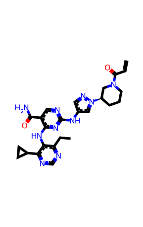 C=CC(=O)N1CCC[C@@H](n2cc(Nc3ncc(C(N)=O)c(Nc4c(CC)ncnc4C4CC4)n3)cn2)C1